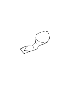 C1CCC2CC(C1)C1CC3C4CCC(C4)C3C21